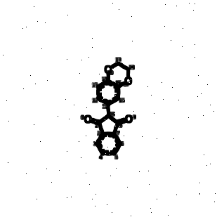 O=C1c2ccccc2C(=O)C1c1ccc2c(c1)OCCO2